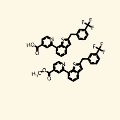 COC(=O)c1ccnc(-c2cccc3cc(Cc4cccc(C(F)(F)F)c4)sc23)c1.O=C(O)c1ccnc(-c2cccc3cc(Cc4cccc(C(F)(F)F)c4)sc23)c1